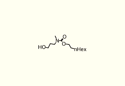 CCCCCCCCOC(=O)N(C)CCCO